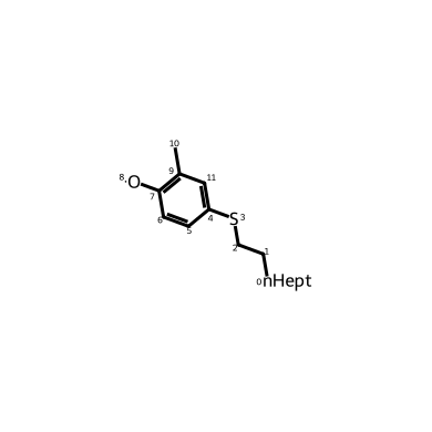 CCCCCCCCCSc1ccc([O])c(C)c1